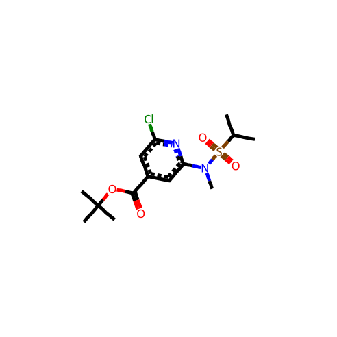 CC(C)S(=O)(=O)N(C)c1cc(C(=O)OC(C)(C)C)cc(Cl)n1